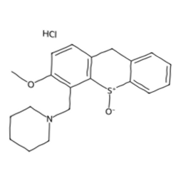 COc1ccc2c(c1CN1CCCCC1)[S+]([O-])c1ccccc1C2.Cl